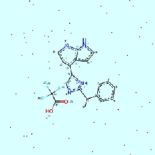 CC(c1ccccc1)c1ncc(-c2ccnc3[nH]ccc23)[nH]1.O=C(O)C(F)(F)F